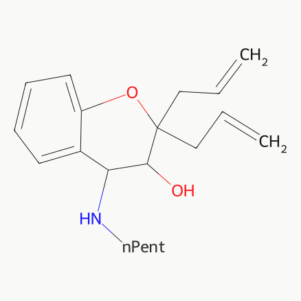 C=CCC1(CC=C)Oc2ccccc2C(NCCCCC)C1O